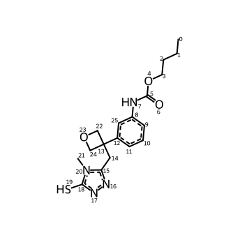 CCCCOC(=O)Nc1cccc(C2(Cc3nnc(S)n3C)COC2)c1